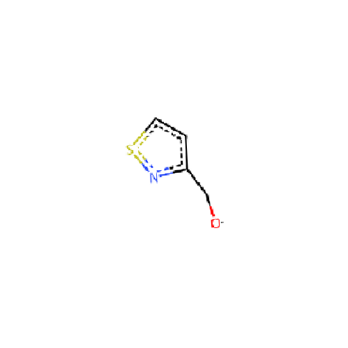 [O]Cc1ccsn1